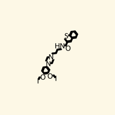 O=C(NCCCCN1CCN(c2ccc(OCI)c(OCI)c2)CC1)C1=Cc2ccccc2SC1